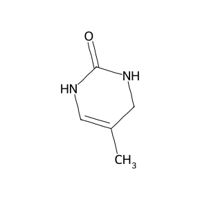 CC1=CNC(=O)NC1